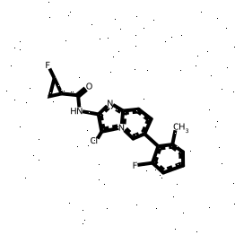 Cc1cccc(F)c1-c1ccc2nc(NC(=O)C3CC3F)c(Cl)n2c1